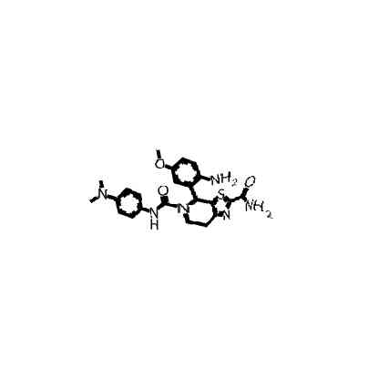 COc1ccc(N)c(C2c3sc(C(N)=O)nc3CCN2C(=O)Nc2ccc(N(C)C)cc2)c1